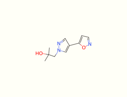 CC(C)(O)Cn1cc(-c2ccno2)cn1